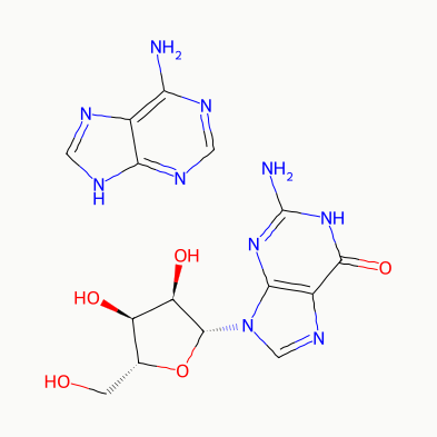 Nc1nc2c(ncn2[C@@H]2O[C@H](CO)[C@@H](O)[C@H]2O)c(=O)[nH]1.Nc1ncnc2[nH]cnc12